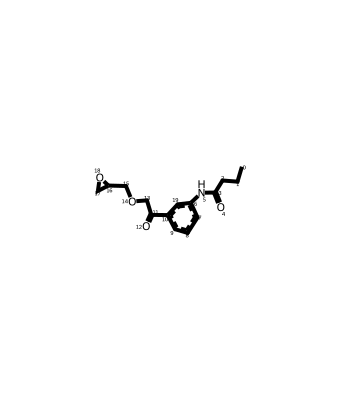 CCCC(=O)Nc1cccc(C(=O)COCC2CO2)c1